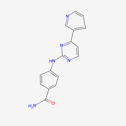 NC(=O)c1ccc(Nc2nccc(-c3cccnc3)n2)cc1